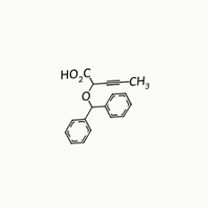 CC#CC(OC(c1ccccc1)c1ccccc1)C(=O)O